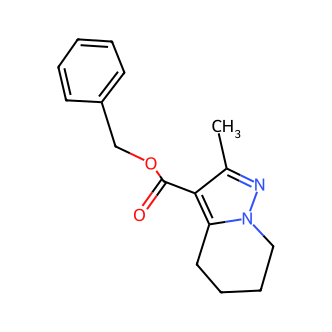 Cc1nn2c(c1C(=O)OCc1ccccc1)CCCC2